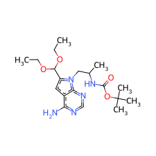 CCOC(OCC)c1cc2c(N)ncnc2n1CC(C)NC(=O)OC(C)(C)C